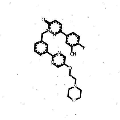 N#Cc1cc(-c2ccc(=O)n(Cc3cccc(-c4ncc(OCCN5CCOCC5)cn4)c3)n2)ccc1F